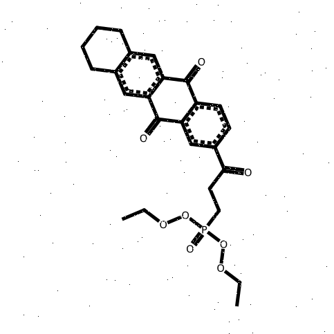 CCOOP(=O)(CCC(=O)c1ccc2c(c1)C(=O)c1cc3c(cc1C2=O)CCCC3)OOCC